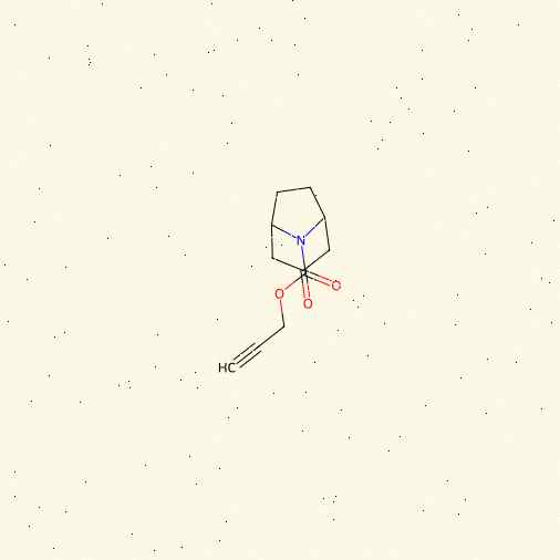 C#CCOC(=O)N1C2CCC1CC(=O)C2